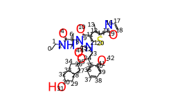 CCNC(=O)C(C)(C)n1c(=O)c2c(C)c(-c3ncco3)sc2n(CC(OC2CC3CC(O)CC3C2)c2ccccc2OC)c1=O